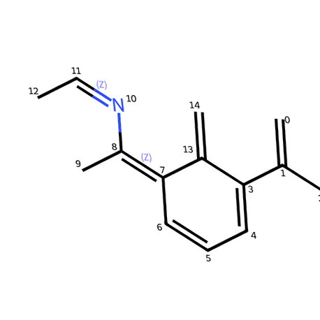 C=C(C)c1ccc/c(=C(C)/N=C\C)c1=C